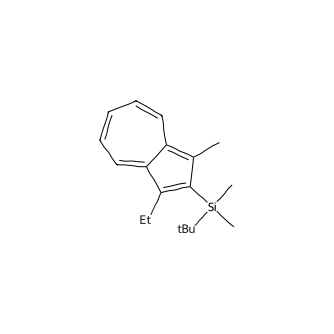 CCc1c2cccccc-2c(C)c1[Si](C)(C)C(C)(C)C